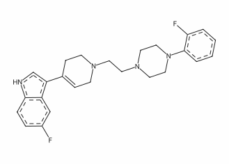 Fc1ccc2[nH]cc(C3=CCN(CCN4CCN(c5ccccc5F)CC4)CC3)c2c1